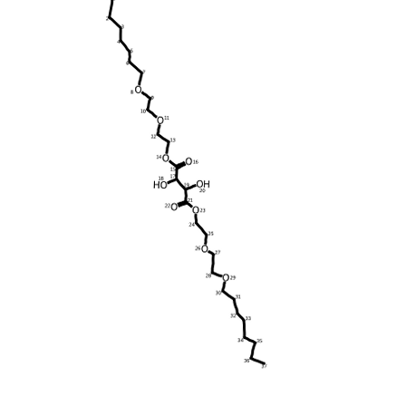 CCCCCCCCOCCOCCOC(=O)C(O)C(O)C(=O)OCCOCCOCCCCCCCC